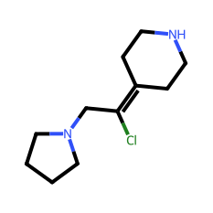 ClC(CN1CCCC1)=C1CCNCC1